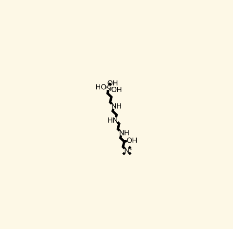 C[N+](C)(C)CC(O)CNCCNCCNCCC[Si](O)(O)O